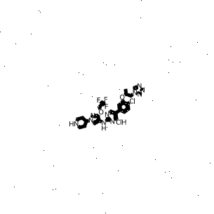 CC(Cn1cnnn1)Oc1cc(-c2cnc(Nc3cn(C4CCNCC4)nc3OCC(F)(F)F)nc2)ccc1Cl.Cl